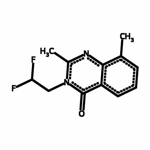 Cc1cccc2c(=O)n(CC(F)F)c(C)nc12